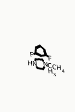 C.CN1CCNCC1.Fc1cccc(F)c1